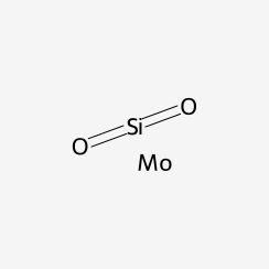 O=[Si]=O.[Mo]